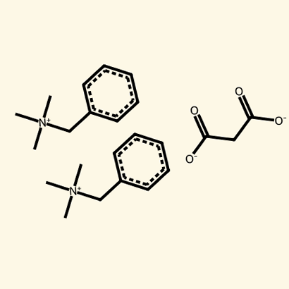 C[N+](C)(C)Cc1ccccc1.C[N+](C)(C)Cc1ccccc1.O=C([O-])CC(=O)[O-]